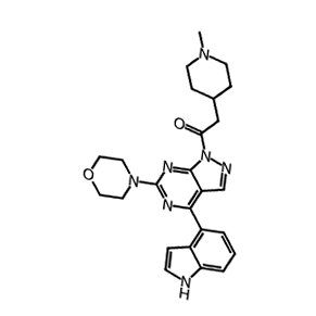 CN1CCC(CC(=O)n2ncc3c(-c4cccc5[nH]ccc45)nc(N4CCOCC4)nc32)CC1